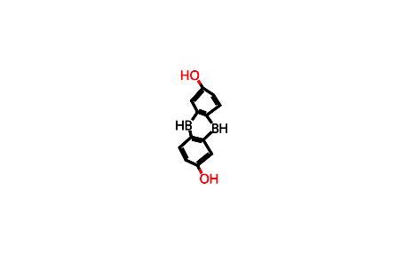 Oc1ccc2c(c1)Bc1ccc(O)cc1B2